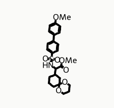 COC(=O)C(NS(=O)(=O)c1ccc(-c2ccc(OC)cc2)cc1)C1CCCC2(C1)OCCCO2